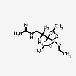 CCO[Si](OCC)(OCC)C(C)(C)C(C)(C)CNC(=N)N